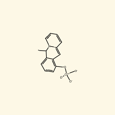 CC1c2cccc(O[Cl+3]([O-])([O-])[O-])c2C=C2C=CC=CN21